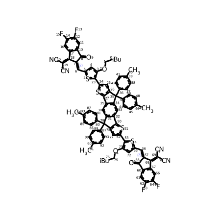 CCC(C)COc1cc(/C=C2\C(=O)c3cc(F)c(F)cc3C2=C(C#N)C#N)sc1-c1cc2c(s1)-c1cc3c(cc1C2(c1ccc(C)cc1)c1ccc(C)cc1)-c1sc(-c2sc(/C=C4\C(=O)c5cc(F)c(F)cc5C4=C(C#N)C#N)cc2OCC(C)CC)cc1C3(c1ccc(C)cc1)c1ccc(C)cc1